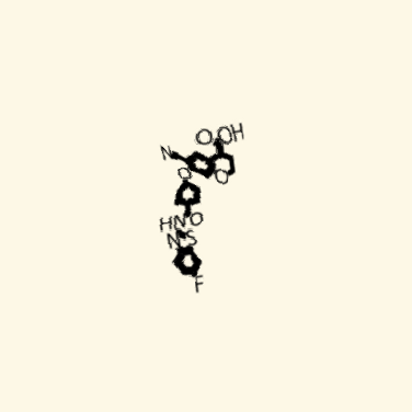 N#Cc1cc2c(cc1Oc1ccc(C(=O)Nc3nc4ccc(F)cc4s3)cc1)OCCC2C(=O)O